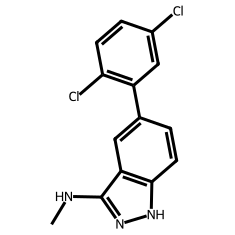 CNc1n[nH]c2ccc(-c3cc(Cl)ccc3Cl)cc12